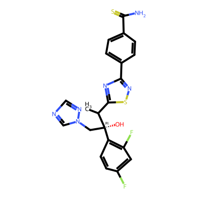 CC(c1nc(-c2ccc(C(N)=S)cc2)ns1)[C@](O)(Cn1cncn1)c1ccc(F)cc1F